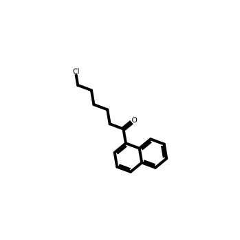 O=C(CCCCCCl)c1cccc2ccccc12